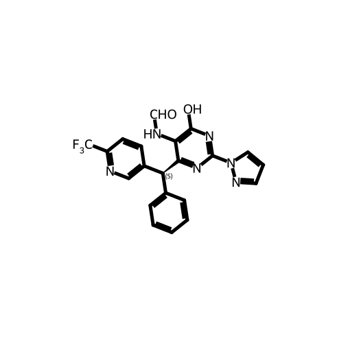 O=CNc1c(O)nc(-n2cccn2)nc1[C@@H](c1ccccc1)c1ccc(C(F)(F)F)nc1